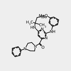 COc1cccc(Nc2nc(NC(C)(C)CC(C)(C)C)cc(C(=O)N3CCN(c4ccccc4)CC3)n2)c1